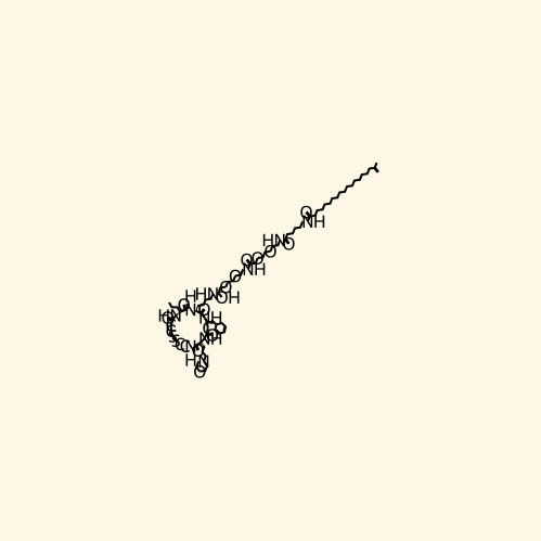 C=C(C)CCCCCCCCCCCCCCCCC(=O)NCCCCCC(=O)NCCOCCOCC(=O)NCCOCCOCC(O)NCCCC[C@@H]1NC(=O)[C@H]([C@@H](C)CC)NC(=O)CCSSCCNC(=O)[C@H](CCCN2CCOCC2)NC(=O)C[C@H](CC2C=CC=CC2)NC1=O